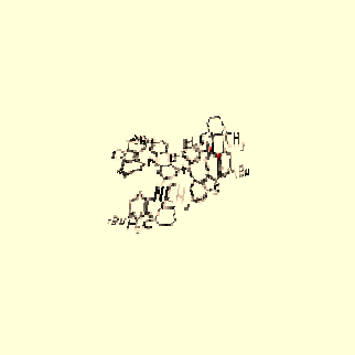 CC(C)(C)c1ccc2c(c1)N(c1cccc3oc4ccccc4c13)c1cc(N3c4ccc(C(C)(C)C)cc4C4(C)CCCCC34C)cc3c1B2c1ccc(N2c4ccc(C(C)(C)C)cc4C4(C)CCCCC24C)cc1N3c1cccc2sc3ccccc3c12